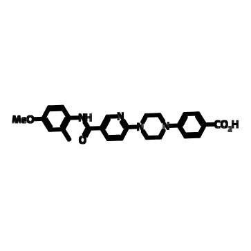 COc1ccc(NC(=O)c2ccc(N3CCN(c4ccc(C(=O)O)cc4)CC3)nc2)c(C)c1